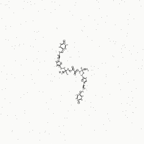 C[C@@](N)(CCc1ccc(C#CCOc2ccc(Cl)cc2)o1)COC(=O)C(=O)OC[C@](C)(N)CCc1ccc(C#CCOc2ccc(Cl)cc2)o1